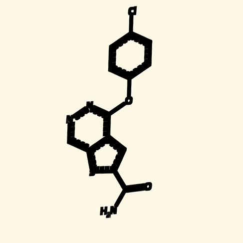 NC(=O)c1cc2c(Oc3ccc(Cl)cc3)nncc2s1